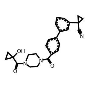 N#CC1(c2cccc(-c3ccc(C(=O)N4CCN(C(=O)C5(O)CC5)CC4)cc3)c2)CC1